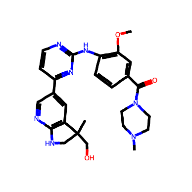 COc1cc(C(=O)N2CCN(C)CC2)ccc1Nc1nccc(-c2cnc3c(c2)C(C)(CO)CN3)n1